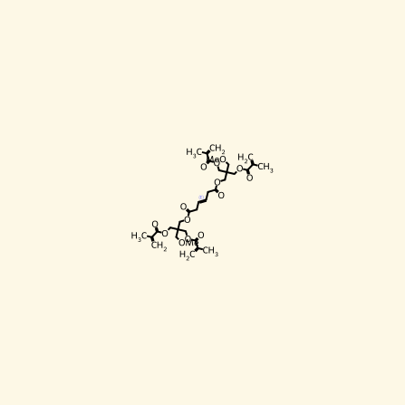 C=C(C)C(=O)OCC(COC)(COC(=O)C/C=C/CC(=O)OCC(COC)(COC(=O)C(=C)C)COC(=O)C(=C)C)COC(=O)C(=C)C